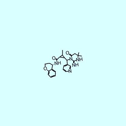 CC1C(C(=O)N[C@H]2CCOc3ccccc32)C1C(c1cccnc1)N1C(=N)NC(C)(C)CC1=O